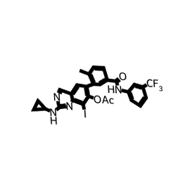 CC(=O)Oc1c(-c2cc(C(=O)Nc3cccc(C(F)(F)F)c3)ccc2C)cc2cnc(NC3CC3)nc2c1I